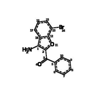 Nc1c(C(=O)c2ccccc2)oc2c(Br)cccc12